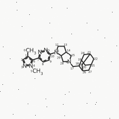 Cc1cnn(C)c1-c1ccc(N2CCC3CN(CC4C5CC6CC(C5)CC4C6)CC32)nn1